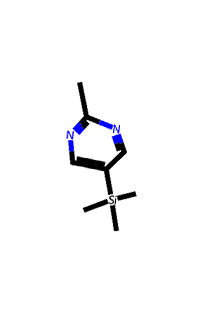 Cc1ncc([Si](C)(C)C)cn1